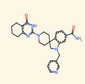 NC(=O)c1ccc2c(c1)N(Cc1cccnc1)CC21CCN(c2nc3c(c(=O)[nH]2)CCCC3)CC1